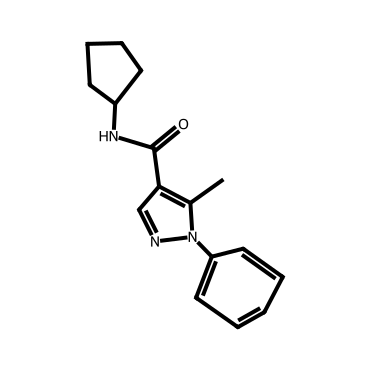 Cc1c(C(=O)NC2CCCC2)cnn1-c1ccccc1